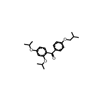 CC(C)COc1[c]cc(C(=O)c2ccc(OC(C)C)cc2OC(C)C)cc1